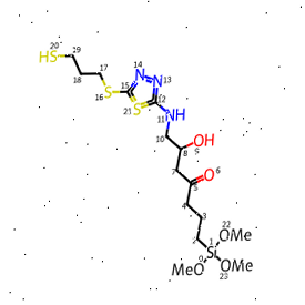 CO[Si](CCCC(=O)CC(O)CNc1nnc(SCCCS)s1)(OC)OC